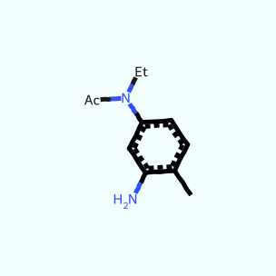 CCN(C(C)=O)c1ccc(C)c(N)c1